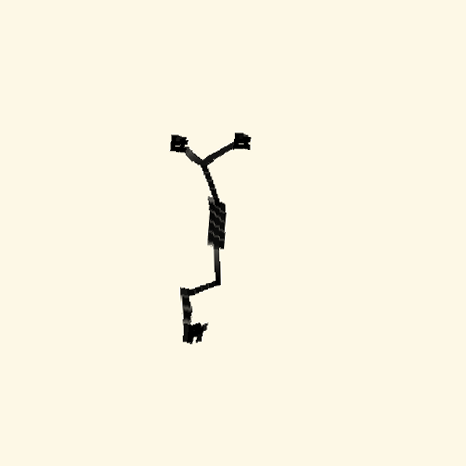 [CH2]C(C)CCC#CC(CC)CC